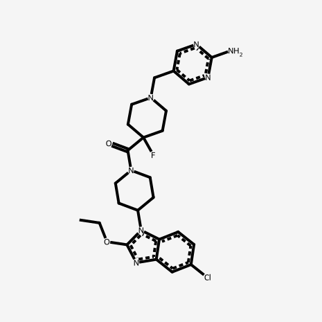 CCOc1nc2cc(Cl)ccc2n1C1CCN(C(=O)C2(F)CCN(Cc3cnc(N)nc3)CC2)CC1